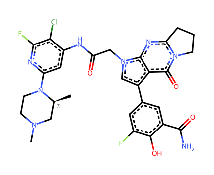 C[C@H]1CN(C)CCN1c1cc(NC(=O)Cn2cc(-c3cc(F)c(O)c(C(N)=O)c3)c3c(=O)n4c(nc32)CCC4)c(Cl)c(F)n1